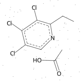 CC(=O)O.CCc1ncc(Cl)c(Cl)c1Cl